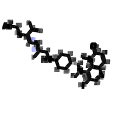 C=C(C)/C(=C\N=C(/C)CN[C@H]1CC[C@H](CN(C)c2c(F)cnc3ccc(=O)n(C)c23)CC1)SCC(C)=O